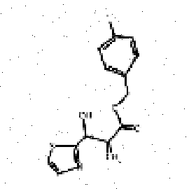 C=C(C(=O)OCc1ccc(Cl)cc1)C(O)c1nccs1